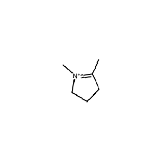 CC1=[N+](C)CCC1